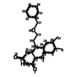 Cc1cc2nc3c(=O)[nH]c(=O)nc-3n(CCOCc3ccccc3)c2cc1C